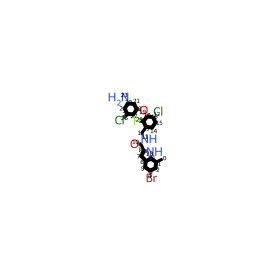 Cc1cc(Br)cc2cc(C(=O)NCc3ccc(Cl)c(Oc4cc(N)cc(Cl)c4)c3F)[nH]c12